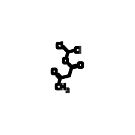 CC(=O)CC(=O)OC(Cl)Cl